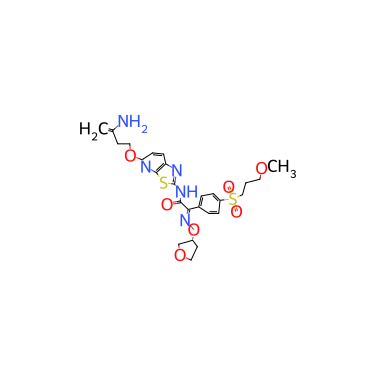 C=C(N)CCOc1ccc2nc(NC(=O)/C(=N/O[C@@H]3CCOC3)c3ccc(S(=O)(=O)CCCOC)cc3)sc2n1